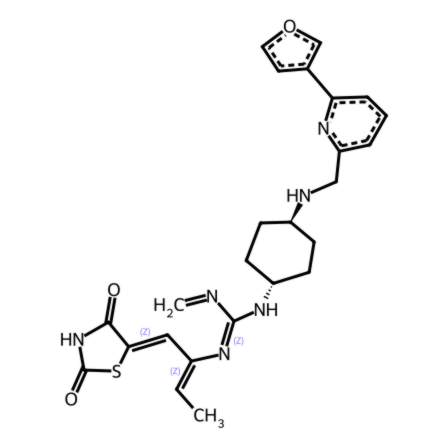 C=N\C(=N/C(=C\C)/C=C1\SC(=O)NC1=O)N[C@H]1CC[C@H](NCc2cccc(-c3ccoc3)n2)CC1